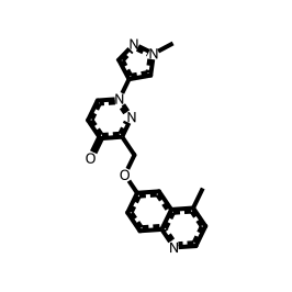 Cc1ccnc2ccc(OCc3nn(-c4cnn(C)c4)ccc3=O)cc12